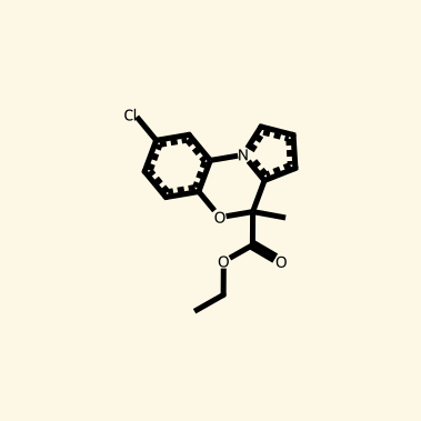 CCOC(=O)C1(C)Oc2ccc(Cl)cc2-n2cccc21